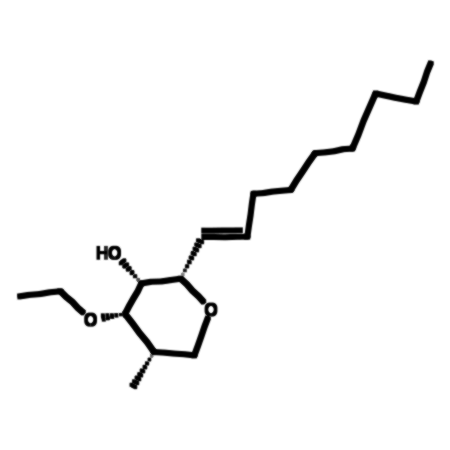 CCCCCCCC=C[C@@H]1OC[C@H](C)[C@H](OCC)[C@@H]1O